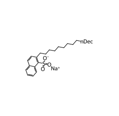 CCCCCCCCCCCCCCCCCCCc1ccc2ccccc2c1S(=O)(=O)[O-].[Na+]